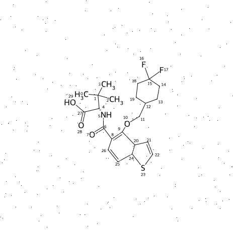 CC(C)(C)[C@H](NC(=O)C1=C(OCC2CCC(F)(F)CC2)C2C=CSC2C=C1)C(=O)O